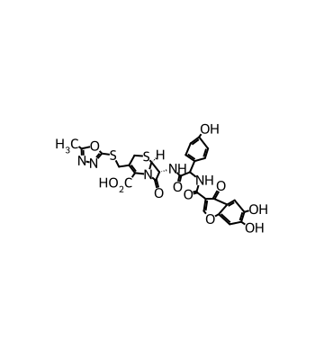 Cc1nnc(SCC2=C(C(=O)O)N3C(=O)[C@@H](NC(=O)C(NC(=O)c4coc5cc(O)c(O)cc5c4=O)c4ccc(O)cc4)[C@@H]3SC2)o1